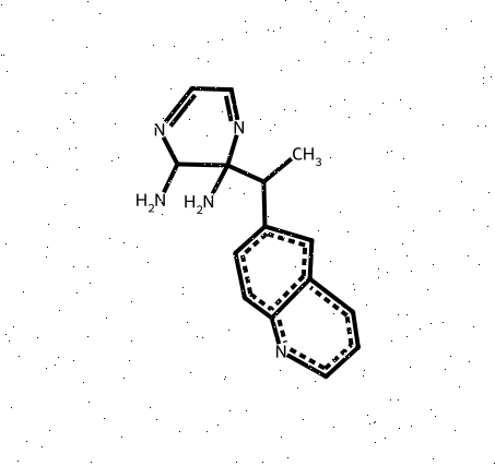 CC(c1ccc2ncccc2c1)C1(N)N=CC=NC1N